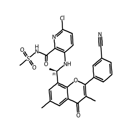 Cc1cc([C@@H](C)Nc2ccc(Cl)nc2C(=O)NS(C)(=O)=O)c2oc(-c3cccc(C#N)c3)c(C)c(=O)c2c1